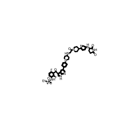 CCN(C)S(=O)(=O)Nc1ccc(F)c(C(=O)c2c[nH]c3ncc(-c4ccc(N5CCC(NCC(=O)N6CCC(c7ccc(NC8CCC(=O)NC8=O)cn7)CC6)CC5)cc4)cc23)c1F